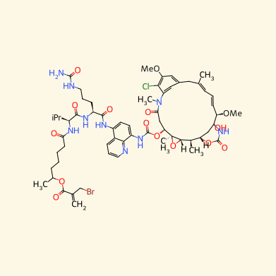 C=C(CBr)C(=O)OC(C)CCCCC(=O)N[C@H](C(=O)N[C@@H](CCCNC(N)=O)C(=O)Nc1ccc(NC(=O)O[C@H]2CC(=O)N(C)c3cc(cc(OC)c3Cl)C/C(C)=C/C=C/[C@@H](OC)[C@@]3(O)C[C@H](OC(=O)N3)[C@@H](C)[C@@H]3O[C@@]23C)c2ncccc12)C(C)C